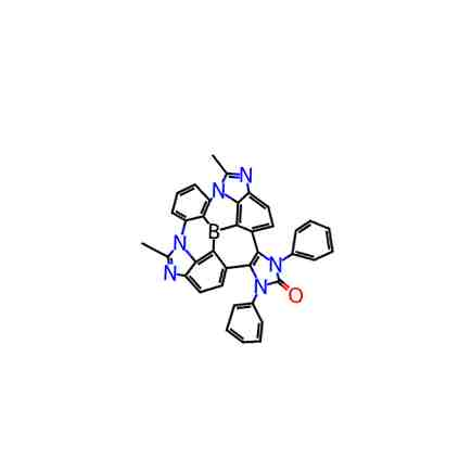 Cc1nc2ccc3c4c2n1-c1cccc2c1B4c1c(ccc4nc(C)n-2c14)-c1c-3n(-c2ccccc2)c(=O)n1-c1ccccc1